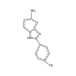 N#Cc1ccc(-c2nc3cc(N)ccc3[nH]2)cc1